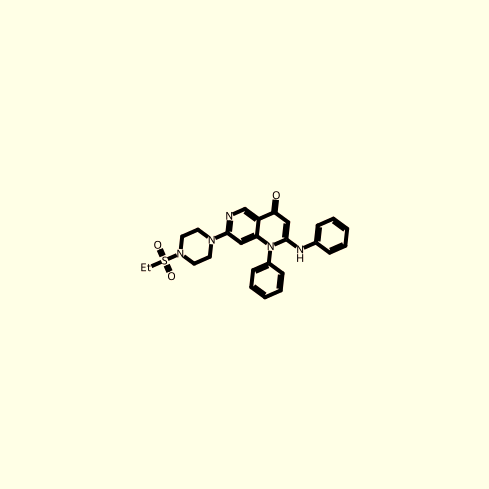 CCS(=O)(=O)N1CCN(c2cc3c(cn2)c(=O)cc(Nc2ccccc2)n3-c2ccccc2)CC1